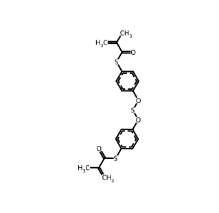 C=C(C)C(=O)Sc1ccc(OSOc2ccc(SC(=O)C(=C)C)cc2)cc1